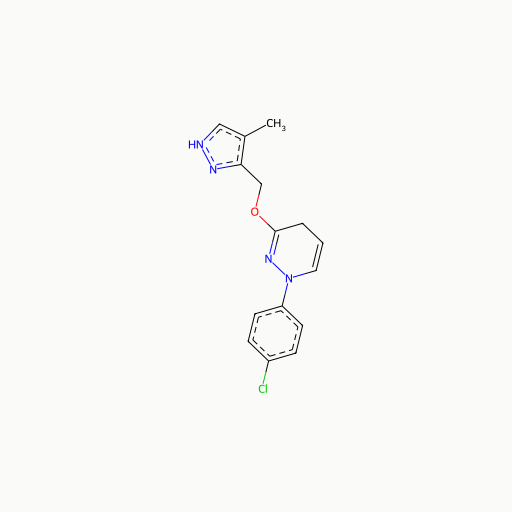 Cc1c[nH]nc1COC1=NN(c2ccc(Cl)cc2)C=CC1